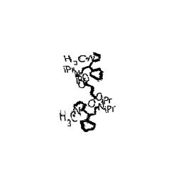 CC(C)N(C(C)C)C(CC(c1ccccc1)c1cccn1C)OC(=O)/C=C/C(=O)OC(CC(c1ccccc1)c1cccn1C)N(C(C)C)C(C)C